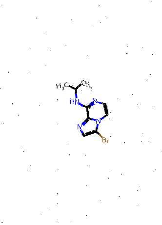 CC(C)Nc1nccn2c(Br)cnc12